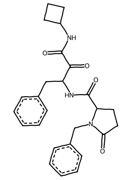 O=C(NC1CCC1)C(=O)C(Cc1ccccc1)NC(=O)C1CCC(=O)N1Cc1ccccc1